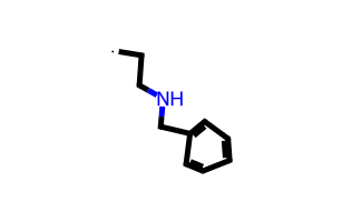 [CH2]CCNCc1ccccc1